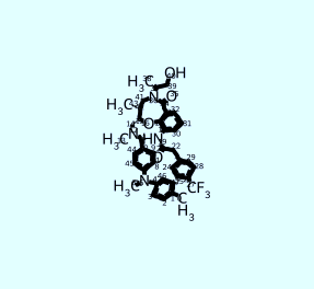 Cc1ccc(N(C)c2ccc(CN(C)C[C@H]3Oc4c(NC(=O)Cc5ccc(C(F)(F)F)cc5)cccc4C(=O)N(C(C)CO)C[C@H]3C)cc2)cc1